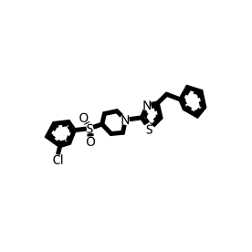 O=S(=O)(c1cccc(Cl)c1)C1CCN(c2nc(Cc3ccccc3)cs2)CC1